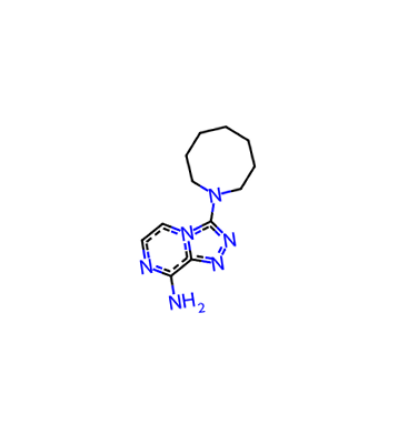 Nc1nccn2c(N3CCCCCCC3)nnc12